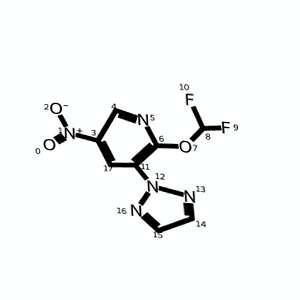 O=[N+]([O-])c1cnc(OC(F)F)c(-n2nccn2)c1